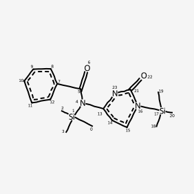 C[Si](C)(C)N(C(=O)c1ccccc1)c1ccn([Si](C)(C)C)c(=O)n1